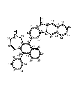 C1=Cc2c(c(-c3ccc4c(c3)C3C=c5ccccc5=CC3N4)c3ccccc3c2-c2ccccc2)CPC1